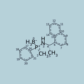 [BH3-][P@+](C)(N[C@@H](C)c1cccc2ccccc12)c1ccccc1